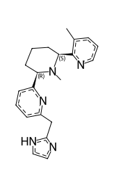 Cc1cccnc1[C@@H]1CCC[C@H](c2cccc(Cc3ncc[nH]3)n2)N1C